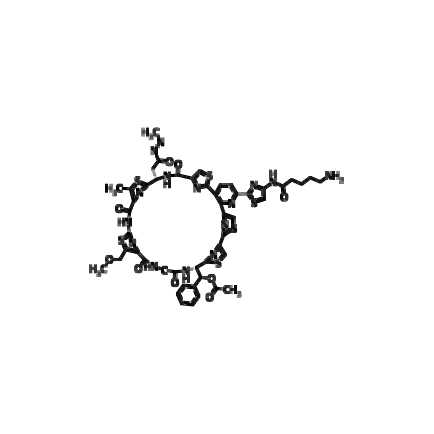 CN=NC(=O)C[C@@H]1NC(=O)c2csc(n2)-c2ccc(-c3nc(NC(=O)CCCCN)cs3)nc2-c2csc(n2)-c2csc(n2)[C@H]([C@@H](OC(C)=O)c2ccccc2)NC(=O)CNC(=O)c2nc(sc2COC)NC(=O)c2nc1sc2C